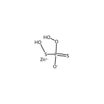 [O-]P(=S)(OO)SO.[Zn+]